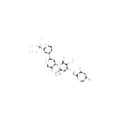 Cc1cnc(-c2ccnc(C(C)(C)O)c2)cc1-n1c(C)cc(OCc2ncc(F)cc2F)c(Cl)c1=O